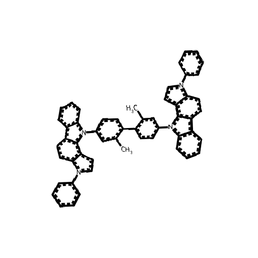 Cc1cc(-n2c3ccccc3c3ccc4c(ccn4-c4ccccc4)c32)ccc1-c1ccc(-n2c3ccccc3c3ccc4c(ccn4-c4ccccc4)c32)cc1C